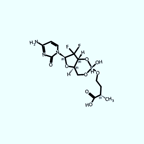 C[C@@H](CCO[PH]1(O)OC[C@H]2O[C@@H](n3ccc(N)nc3=O)C(F)(F)[C@@H]2O1)C(=O)O